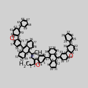 C=Cc1oc2cc(-c3c4ccccc4c(-c4ccc5oc6ccc(-c7ccccc7)cc6c5c4)c4ccccc34)ccc2c1/C=C(\C)c1c2ccccc2c(-c2ccc3oc4ccc(-c5ccccc5)cc4c3c2)c2ccccc12